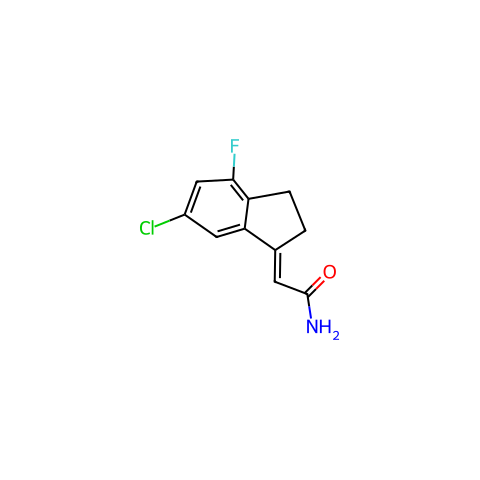 NC(=O)/C=C1\CCc2c(F)cc(Cl)cc21